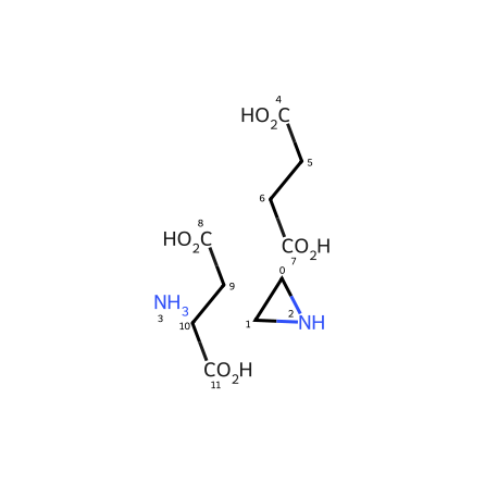 C1CN1.N.O=C(O)CCC(=O)O.O=C(O)CCC(=O)O